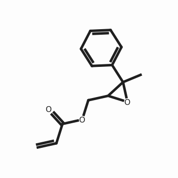 C=CC(=O)OCC1OC1(C)c1ccccc1